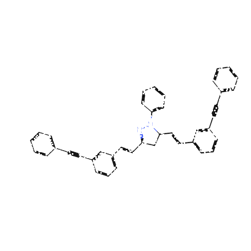 C(#Cc1cccc(C=CC2=NN(c3ccccc3)C(C=Cc3cccc(C#Cc4ccccc4)c3)C2)c1)c1ccccc1